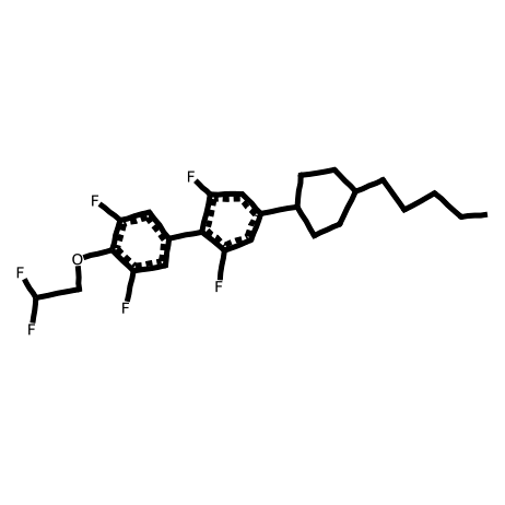 CCCCCC1CCC(c2cc(F)c(-c3cc(F)c(OCC(F)F)c(F)c3)c(F)c2)CC1